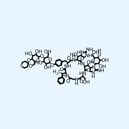 CC(c1ccccc1)C1NC(=O)CNC(=O)C(CO)NC(=O)C(C(O)C2CNC(=N)N2C2OC(CO)C(O)C(O)C2O)NC(=O)C(C(O)C2CNC(=N)N2)NC(=O)C(Cc2ccc(OC3OC(CO)C(OC4OC5COC6(CCSCC6)OC5C(O)C4O)C(O)C3O)cc2)NC1=O